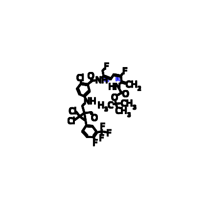 C=C(NC(=O)OC(C)(C)C)/C(F)=C\C=C(/CF)NC(=O)c1cc(NCC2(C=O)C(c3ccc(F)c(C(F)(F)F)c3)C2(Cl)Cl)ccc1Cl